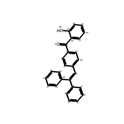 O=C(c1ccc(C=C(c2ccccc2)c2ccccc2)cc1)c1ccccc1O